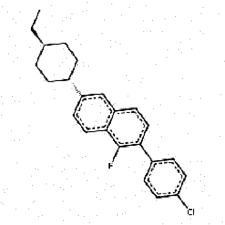 CC[C@H]1CC[C@H](c2ccc3c(F)c(-c4ccc(Cl)cc4)ccc3c2)CC1